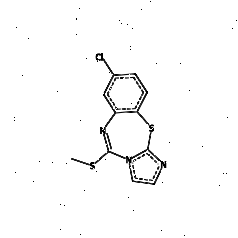 CSC1=Nc2cc(Cl)ccc2Sc2nccn21